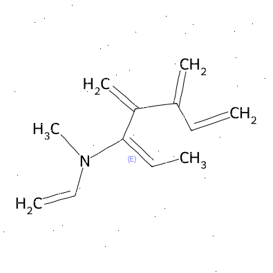 C=CC(=C)C(=C)/C(=C\C)N(C)C=C